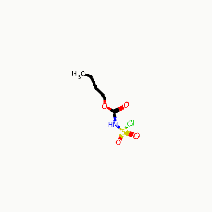 CCCCOC(=O)NS(=O)(=O)Cl